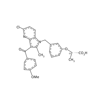 COc1ccc(C(=O)c2c(C)n(Cc3cccc(O[C@@H](C)C(=O)O)c3)c3ccc(Cl)nc23)cc1